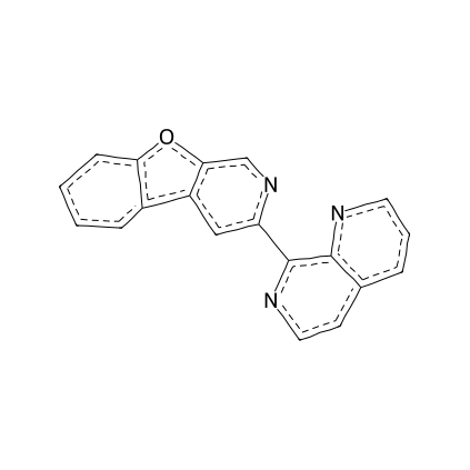 c1cnc2c(-c3cc4c(cn3)oc3ccccc34)nccc2c1